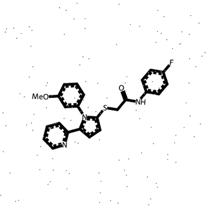 COc1cccc(-n2c(SCC(=O)Nc3ccc(F)cc3)ccc2-c2ccccn2)c1